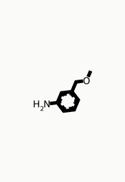 COCc1cccc(N)c1